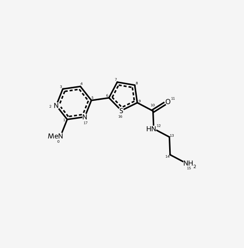 CNc1nccc(-c2ccc(C(=O)NCCN)s2)n1